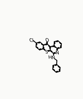 O=c1c2cc(Cl)ccc2sc2c(NCc3ccccc3)nc3ccccc3c12